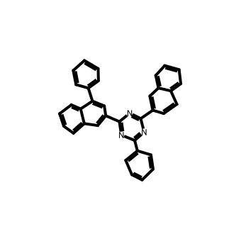 c1ccc(-c2nc(-c3ccc4ccccc4c3)nc(-c3cc(-c4ccccc4)c4ccccc4c3)n2)cc1